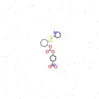 O=C(Oc1ccc([N+](=O)[O-])cc1)O[C@@H]1CCCCC[C@H]1SSc1ccccn1